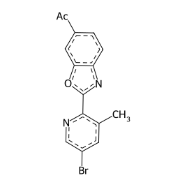 CC(=O)c1ccc2nc(-c3ncc(Br)cc3C)oc2c1